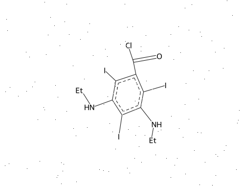 CCNc1c(I)c(NCC)c(I)c(C(=O)Cl)c1I